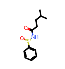 CC(C)CCC(=O)N[S+]([O-])c1ccccc1